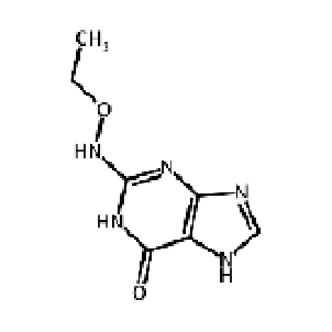 CCONc1nc2nc[nH]c2c(=O)[nH]1